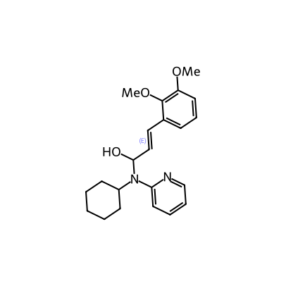 COc1cccc(/C=C/C(O)N(c2ccccn2)C2CCCCC2)c1OC